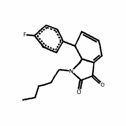 CCCCCN1C(=O)C(=O)C2=CC=CC(c3ccc(F)cc3)C21